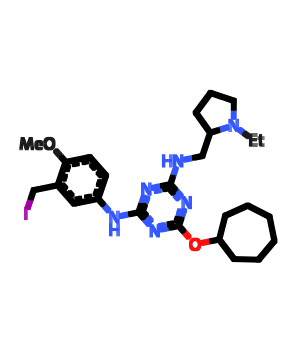 CCN1CCCC1CNc1nc(Nc2ccc(OC)c(CI)c2)nc(OC2CCCCCC2)n1